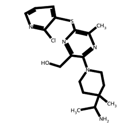 Cc1nc(N2CCC(C)(C(C)N)CC2)c(CO)nc1Sc1cccnc1Cl